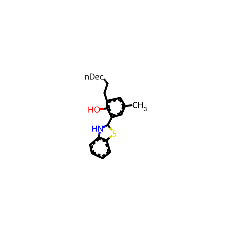 CCCCCCCCCCCCc1cc(C)cc(C2Nc3ccccc3S2)c1O